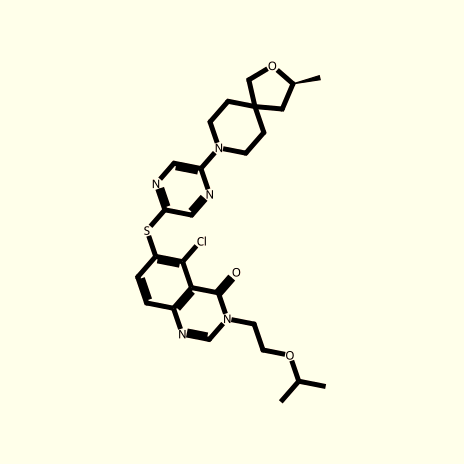 CC(C)OCCn1cnc2ccc(Sc3cnc(N4CCC5(CC4)CO[C@@H](C)C5)cn3)c(Cl)c2c1=O